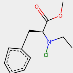 CCN(Cl)[C@@H](Cc1ccccc1)C(=O)OC